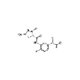 CCNC(=O)c1ccc(F)c(NC(=O)C2CN(C(C)(C)C)N=C2CC)c1